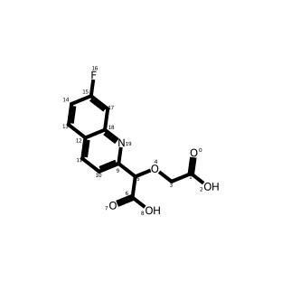 O=C(O)COC(C(=O)O)c1ccc2ccc(F)cc2n1